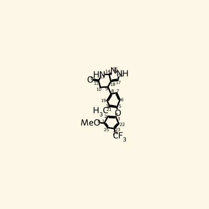 COc1cc(Oc2ccc(C3CC(=O)Nc4n[nH]cc43)cc2C)cc(C(F)(F)F)c1